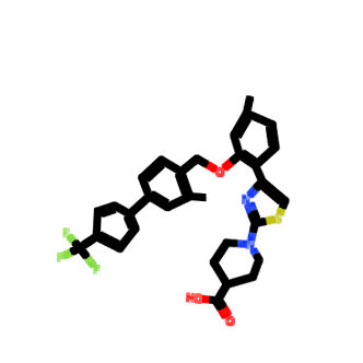 Cc1ccc(-c2csc(N3CCC(C(=O)O)CC3)n2)c(OCc2ccc(-c3ccc(C(F)(F)F)cc3)cc2C)c1